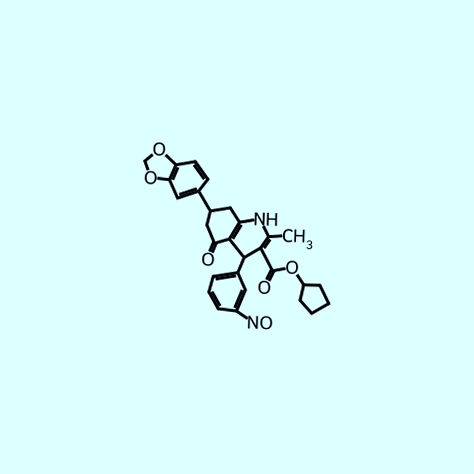 CC1=C(C(=O)OC2CCCC2)C(c2cccc(N=O)c2)C2=C(CC(c3ccc4c(c3)OCO4)CC2=O)N1